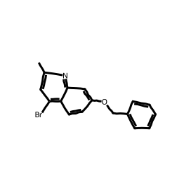 Cc1cc(Br)c2ccc(OCc3ccccc3)cc2n1